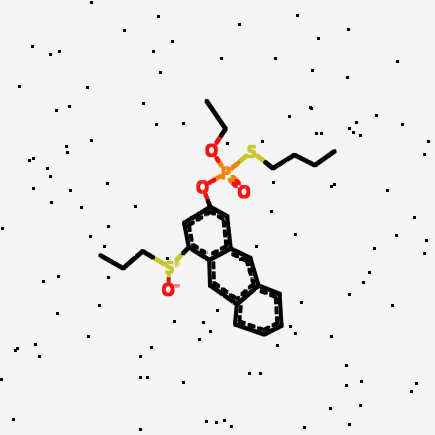 CCCCSP(=O)(OCC)Oc1cc([S+]([O-])CCC)c2cc3ccccc3cc2c1